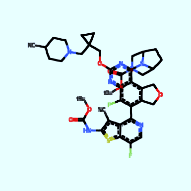 CC(C)(C)OC(=O)Nc1sc2c(F)cnc(-c3c4c(c5c(N6C7CCC6CN(C(=O)OC(C)(C)C)C7)nc(OCC6(CN7CCC(C#N)CC7)CC6)nc5c3F)COC4)c2c1C#N